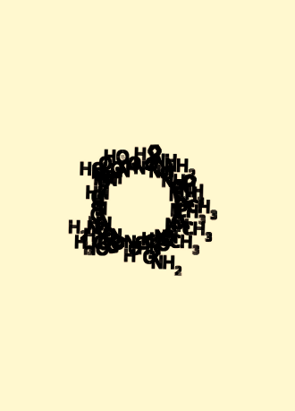 CCCC[C@H]1C(=O)N(C)[C@@H](CCCC)C(=O)N[C@@H](CC(C)C)C(=O)N[C@H](C(=O)NCC(N)=O)CSCC(=O)N[C@@H](Cc2ccc(O)cc2)C(=O)N(CCOC)[C@@H](C)C(=O)N[C@@H](CC(N)=O)C(=O)N2CCC[C@H]2C(=O)N[C@@H](Cc2cnc[nH]2)C(=O)N[C@@H](CCC(=O)O)C(=O)N2C[C@H](O)C[C@H]2C(=O)N[C@@H](Cc2c[nH]c3ccccc23)C(=O)N[C@@H](CCN)C(=O)N[C@@H](Cc2c[nH]c3ccccc23)C(=O)N1C